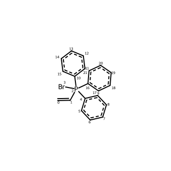 C=CP(Br)(c1ccccc1)(c1ccccc1)c1ccccc1